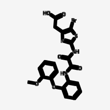 COc1ccccc1Oc1ccccc1NC(=O)C(=O)Nc1nc(CC(=O)O)c(Br)s1